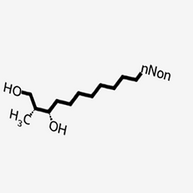 CCCCCCCCCCCCCCCCC[C@H](O)[C@H](C)CO